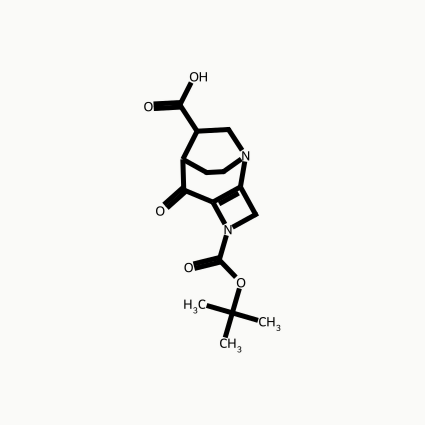 CC(C)(C)OC(=O)N1CC2=C1C(=O)C1CCN2CC1C(=O)O